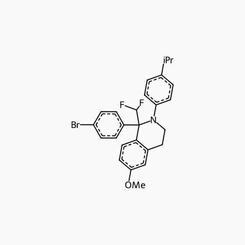 COc1ccc2c(c1)CCN(c1ccc(C(C)C)cc1)C2(c1ccc(Br)cc1)C(F)F